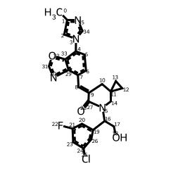 Cc1cn(-c2ccc(/C=C3\CC4(CC4)CN(C(CO)c4cc(F)cc(Cl)c4)C3=O)c3ncoc23)cn1